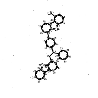 Clc1cccc2oc3c(-c4ccc(C(Cc5cccc6c5sc5ccccc56)c5ccccc5)cc4)cccc3c12